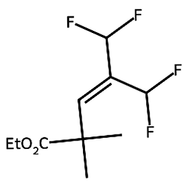 CCOC(=O)C(C)(C)C=C(C(F)F)C(F)F